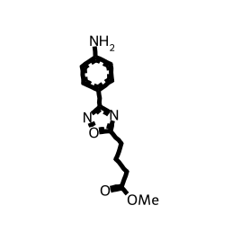 COC(=O)CCCc1nc(-c2ccc(N)cc2)no1